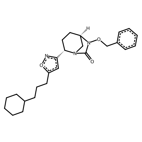 O=C1N2C[C@@H](CC[C@H]2c2cc(CCCC3CCCCC3)on2)N1OCc1ccccc1